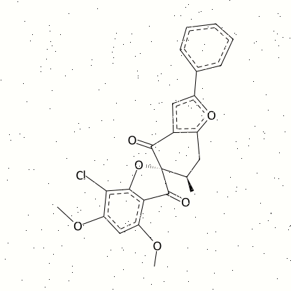 COc1cc(OC)c2c(c1Cl)O[C@@]1(C(=O)c3cc(-c4ccccc4)oc3C[C@H]1C)C2=O